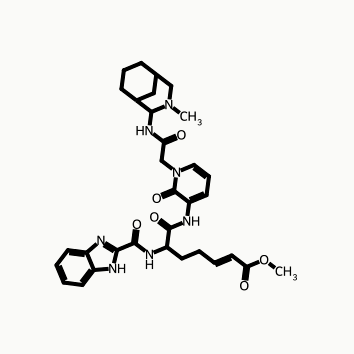 COC(=O)/C=C/CCC(NC(=O)c1nc2ccccc2[nH]1)C(=O)Nc1cccn(CC(=O)NC2C3CCCC(C3)CN2C)c1=O